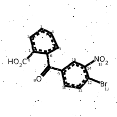 O=C(O)c1ccccc1C(=O)c1ccc(Br)c([N+](=O)[O-])c1